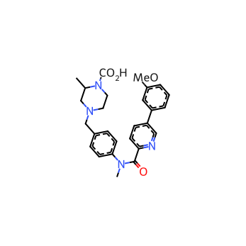 COc1cccc(-c2ccc(C(=O)N(C)c3ccc(CN4CCN(C(=O)O)C(C)C4)cc3)nc2)c1